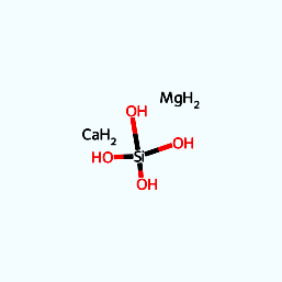 O[Si](O)(O)O.[CaH2].[MgH2]